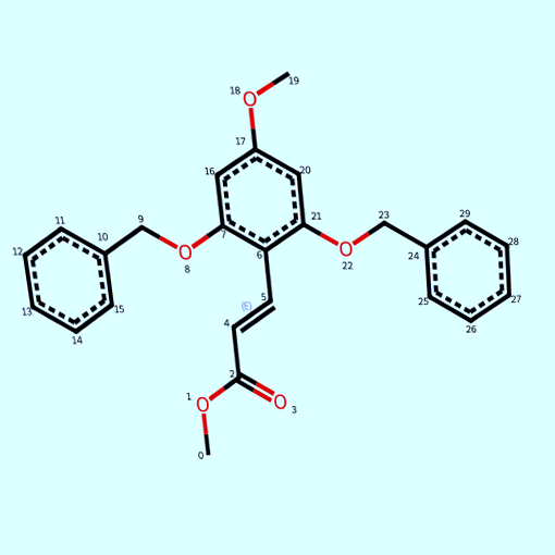 COC(=O)/C=C/c1c(OCc2ccccc2)cc(OC)cc1OCc1ccccc1